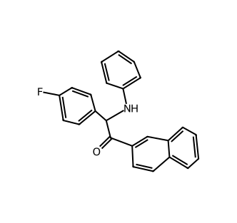 O=C(c1ccc2ccccc2c1)C(Nc1ccccc1)c1ccc(F)cc1